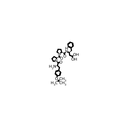 CC(C)(C)Oc1ccc(C[C@H](N)C(=O)N2CCC[C@H]2C(=O)N2CCC[C@H]2C(=O)N[C@@H](Cc2ccccc2)CC(O)O)cc1